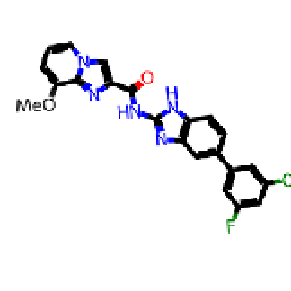 COc1cccn2cc(C(=O)Nc3nc4cc(-c5cc(F)cc(Cl)c5)ccc4[nH]3)nc12